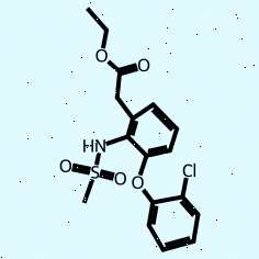 CCOC(=O)Cc1cccc(Oc2ccccc2Cl)c1NS(C)(=O)=O